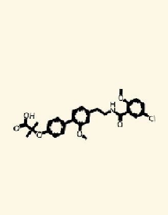 COc1ccc(Cl)cc1C(=O)NCCc1ccc(-c2ccc(OC(C)(C)C(=O)O)cc2)c(OC)c1